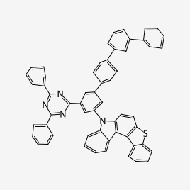 c1ccc(-c2cccc(-c3ccc(-c4cc(-c5nc(-c6ccccc6)nc(-c6ccccc6)n5)cc(-n5c6ccccc6c6c7c(ccc65)sc5ccccc57)c4)cc3)c2)cc1